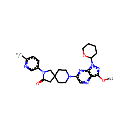 CCOc1nn(C2CCCCO2)c2nc(N3CCC4(CC3)CC(=O)N(c3ccc(C(F)(F)F)nc3)C4)cnc12